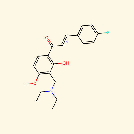 CCN(CC)Cc1c(OC)ccc(C(=O)/C=C/c2ccc(F)cc2)c1O